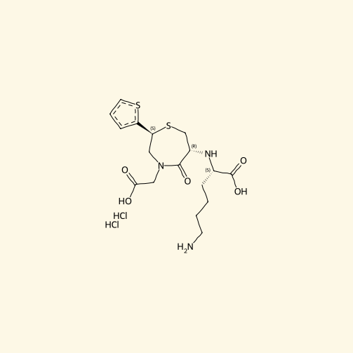 Cl.Cl.NCCCC[C@H](N[C@H]1CS[C@H](c2cccs2)CN(CC(=O)O)C1=O)C(=O)O